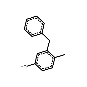 [CH2]c1ccc(O)cc1Cc1ccccc1